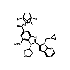 COc1cc(C(=O)N2C[C@H]3CC[C@@H]2[C@@H]3N)cc2nc(-c3cc4cccnc4n3CC3CC3)n([C@@H]3CCOC3)c12